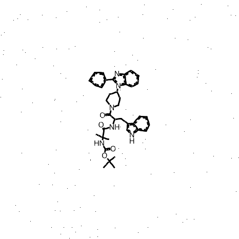 CC(C)(C)OC(=O)NC(C)(C)C(=O)NC(Cc1c[nH]c2ccccc12)C(=O)N1CCC(n2c(-c3ccccc3)nc3ccccc32)CC1